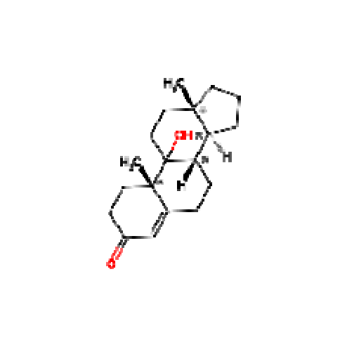 C[C@@]12CCC[C@H]1[C@@H]1CCC3=CC(=O)CC[C@]3(C)C1(O)CC2